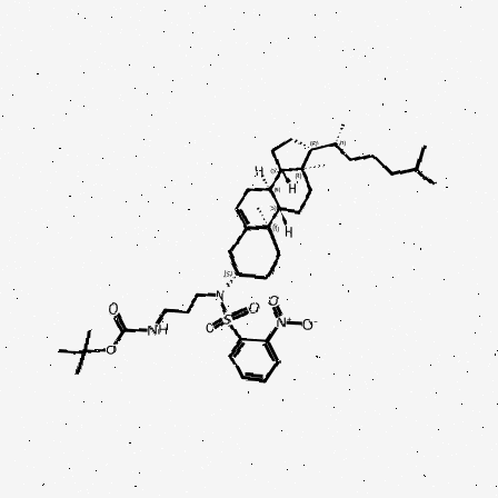 CC(C)CCC[C@@H](C)[C@H]1CC[C@H]2[C@@H]3CC=C4C[C@@H](N(CCCNC(=O)OC(C)(C)C)S(=O)(=O)c5ccccc5[N+](=O)[O-])CC[C@]4(C)[C@H]3CC[C@]12C